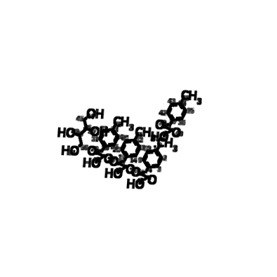 Cc1ccc(S(=O)(=O)O)cc1.Cc1ccc(S(=O)(=O)O)cc1.Cc1ccc(S(=O)(=O)O)cc1.Cc1ccc(S(=O)(=O)O)cc1.OCC(O)C(O)CO